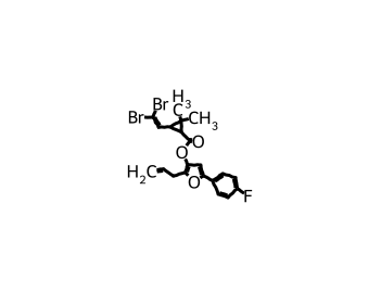 C=CCc1oc(-c2ccc(F)cc2)cc1OC(=O)C1C(C=C(Br)Br)C1(C)C